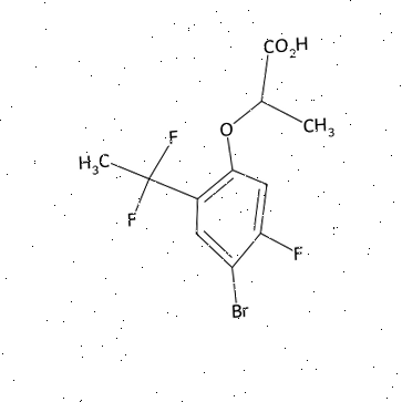 CC(Oc1cc(F)c(Br)cc1C(C)(F)F)C(=O)O